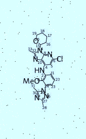 COc1c(Nc2cc(Cl)nc3c2nc(C)n3C2CCCCO2)cccc1-n1nc(C)nc1C